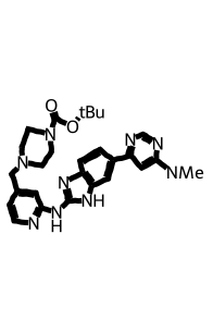 CNc1cc(-c2ccc3nc(Nc4cc(CN5CCN(C(=O)OC(C)(C)C)CC5)ccn4)[nH]c3c2)ncn1